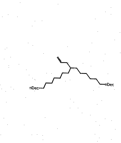 C=C[CH]C(CCCCCCCCCCCCCCCC)CCCCCCCCCCCCCCCCC